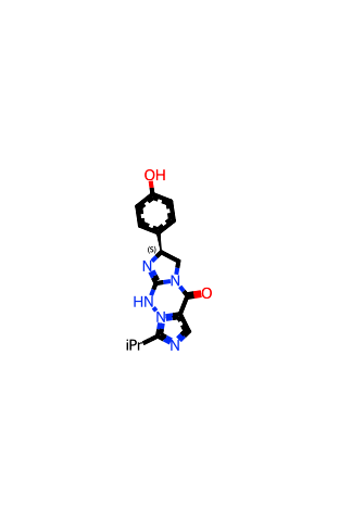 CC(C)c1ncc2n1NC1=N[C@@H](c3ccc(O)cc3)CN1C2=O